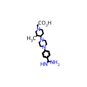 CC1CN(CC(=O)O)CCC1N1CCN(c2ccc(C(=N)N)cc2)CC1